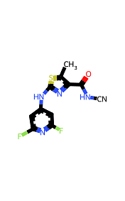 Cc1sc(Nc2cc(F)nc(F)c2)nc1C(=O)NC#N